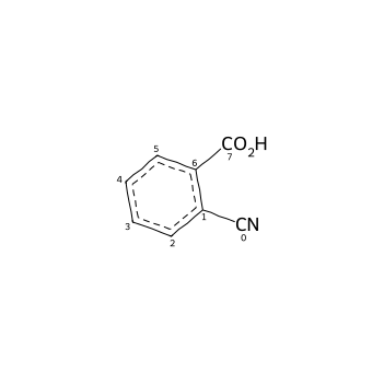 N#Cc1ccccc1C(=O)O